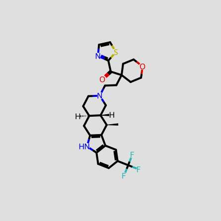 C[C@H]1c2c([nH]c3ccc(C(F)(F)F)cc23)C[C@H]2CCN(CCC3(C(=O)c4nccs4)CCOCC3)C[C@@H]21